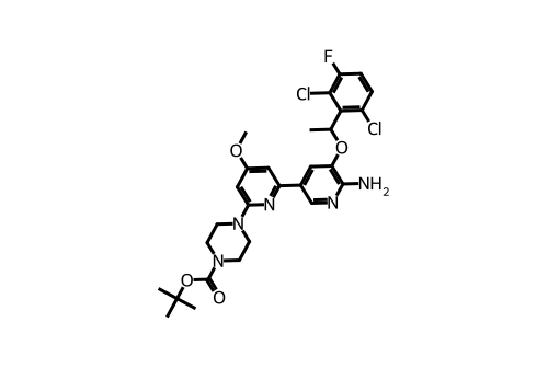 COc1cc(-c2cnc(N)c(OC(C)c3c(Cl)ccc(F)c3Cl)c2)nc(N2CCN(C(=O)OC(C)(C)C)CC2)c1